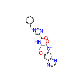 CN1C(=O)C(NC(=O)c2cn(Cc3ccccc3)cn2)COc2cc3nccnc3cc21